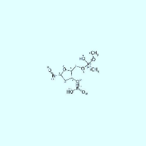 CO[PH](C)(O)OCC1OC(N=O)CC1O[PH](=O)O